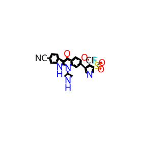 N#Cc1ccc2c(c1)[nH]c1c2c(=O)c2cc(OC(F)(F)F)c(-c3cncc(S(=O)(=O)F)c3)cc2n1C1CNC1